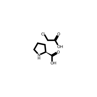 O=C(O)CCl.O=C(O)[C@@H]1CCCN1